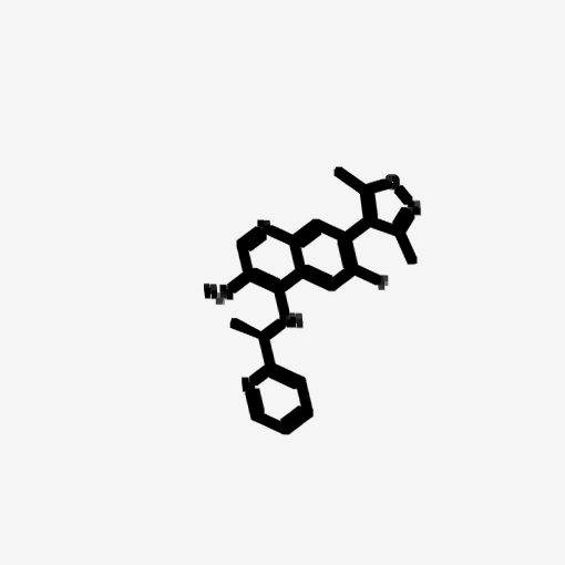 Cc1noc(C)c1-c1cc2ncc(N)c(N[C@H](C)c3ccccn3)c2cc1F